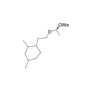 CO[C@@H](C)OCCC1CCC(C)CC1C